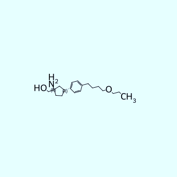 CCCOCCCCc1ccc([C@@H]2CC[C@](N)(CO)C2)cc1